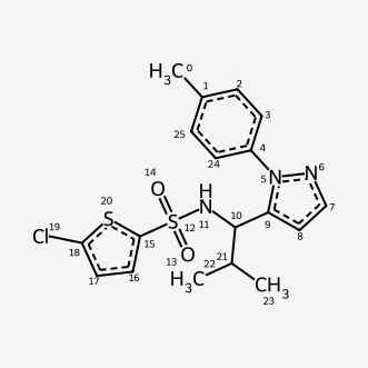 Cc1ccc(-n2nccc2C(NS(=O)(=O)c2ccc(Cl)s2)C(C)C)cc1